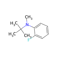 CN(c1ccccc1F)C(C)(C)C